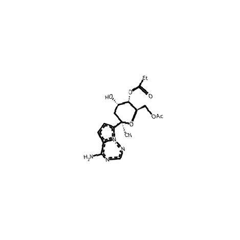 CCC(=O)O[C@H]1[C@@H](O)C[C@](C#N)(c2ccc3c(N)ncnn23)O[C@@H]1COC(C)=O